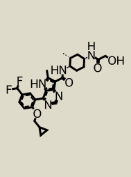 Cc1[nH]c2c(-c3cc(C(F)F)ccc3OCC3CC3)ncnc2c1C(=O)N[C@H]1CC[C@@H](NC(=O)CO)C[C@H]1C